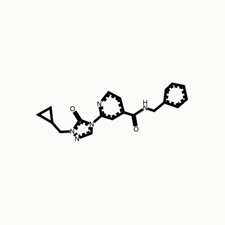 O=C(NCc1ccccc1)c1ccnc(-n2cnn(CC3CC3)c2=O)c1